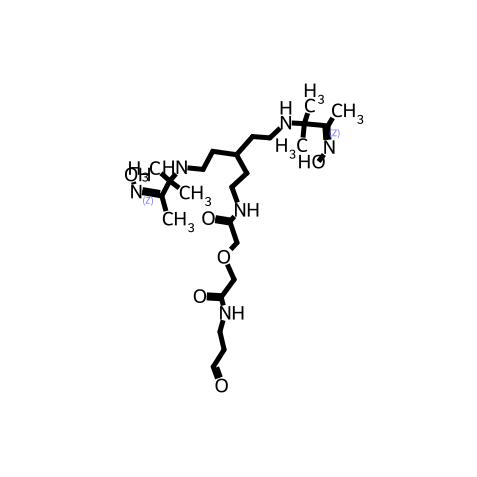 C/C(=N/O)C(C)(C)NCCC(CCNC(=O)COCC(=O)NCCC=O)CCNC(C)(C)/C(C)=N\O